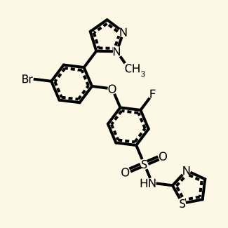 Cn1nccc1-c1cc(Br)ccc1Oc1ccc(S(=O)(=O)Nc2nccs2)cc1F